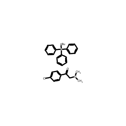 CCCC[B-](c1ccccc1)(c1ccccc1)c1ccccc1.C[S+](C)CC(=O)c1ccc(Cl)cc1